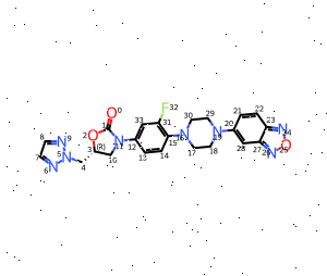 O=C1O[C@@H](Cn2nccn2)CN1c1ccc(N2CCN(c3ccc4nonc4c3)CC2)c(F)c1